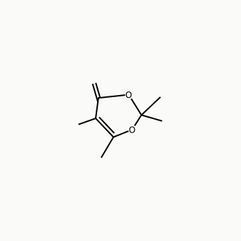 C=C1OC(C)(C)OC(C)=C1C